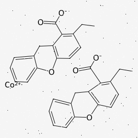 CCc1ccc2c(c1C(=O)[O-])Cc1ccccc1O2.CCc1ccc2c(c1C(=O)[O-])Cc1ccccc1O2.[Co+2]